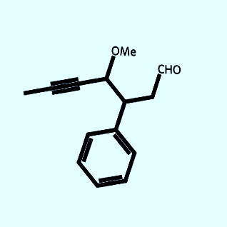 CC#CC(OC)C(CC=O)c1ccccc1